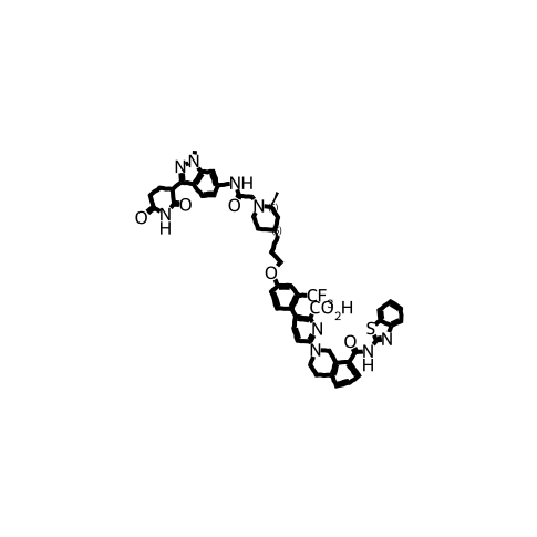 C[C@H]1C[C@@H](CCCOc2ccc(-c3ccc(N4CCc5cccc(C(=O)Nc6nc7ccccc7s6)c5C4)nc3C(=O)O)c(C(F)(F)F)c2)CCN1CC(=O)Nc1ccc2c(C3CCC(=O)NC3=O)nn(C)c2c1